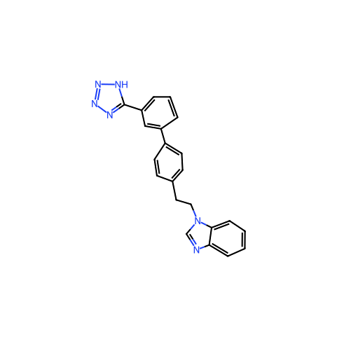 c1cc(-c2ccc(CCn3cnc4ccccc43)cc2)cc(-c2nnn[nH]2)c1